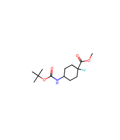 COC(=O)C1(F)CCC(NC(=O)OC(C)(C)C)CC1